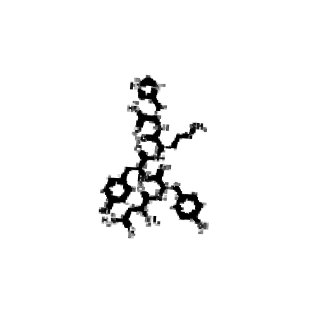 CSCC[C@H](NC(=O)[C@H](Cc1ccc(O)cc1)NC(=O)[C@H](Cc1ccc(O)cc1)NC(=O)[C@@H](N)CC(N)=O)C(=O)N[C@@H](Cc1c[nH]cn1)C(=O)O